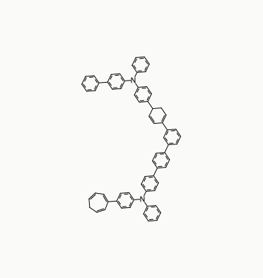 C1=CCC=CC(c2ccc(N(c3ccccc3)c3ccc(-c4ccc(-c5cccc(C6=CCC(c7ccc(N(c8ccccc8)c8ccc(-c9ccccc9)cc8)cc7)C=C6)c5)cc4)cc3)cc2)=C1